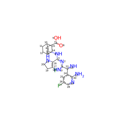 N=C(/N=C(/NC1=C(C(=O)O)C2CCC1CC2)C1=C(F)CCN1)C(=N)c1cc(F)cnc1N